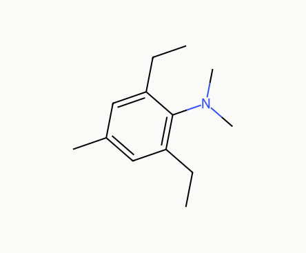 CCc1cc(C)cc(CC)c1N(C)C